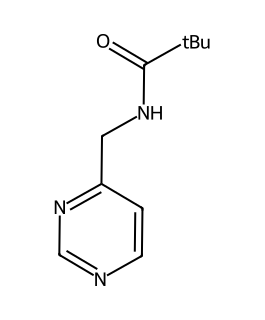 CC(C)(C)C(=O)NCc1ccncn1